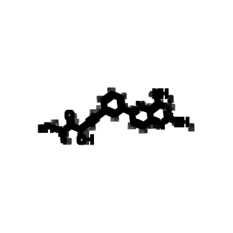 Bc1nc(N)c2nc(-c3cccc(C#C[C@@H](O)C(=O)N(C)CCC)c3)ccc2n1